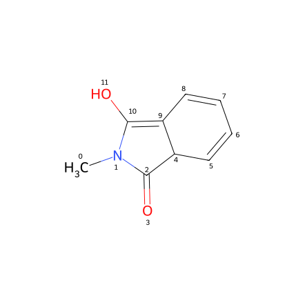 CN1C(=O)C2C=CC=CC2=C1O